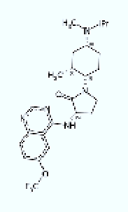 CC(C)N(C)[C@@H]1CC[C@H](N2CC[C@H](Nc3ncnc4ccc(OC(F)(F)F)cc34)C2=O)[C@H](C)C1